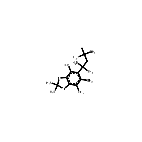 Bc1c(B)c(C(B)(B)CC(B)(B)C)c(B)c2c1OC(B)(B)O2